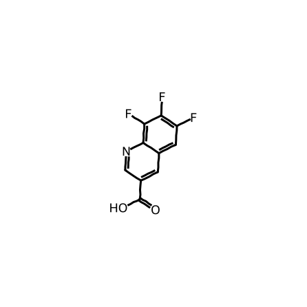 O=C(O)c1cnc2c(F)c(F)c(F)cc2c1